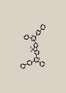 FC1(F)c2cc(-c3cc(-c4ccc(-c5ccccc5)cc4)nc(-c4ccccc4)n3)ccc2-c2ccc(-c3cc(-c4ccc(-c5ccccc5)cc4)nc(-c4ccccc4)n3)cc21